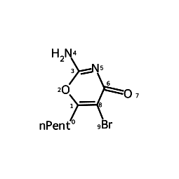 CCCCCc1oc(N)nc(=O)c1Br